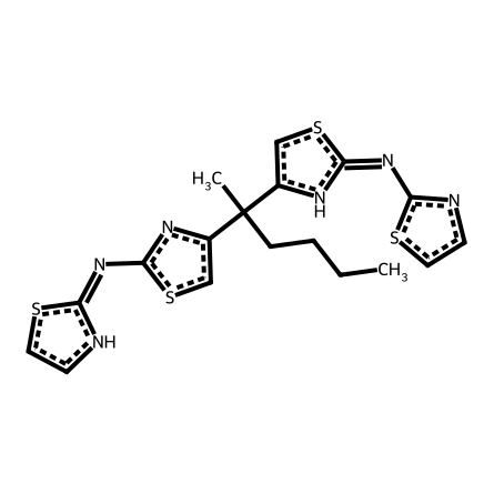 CCCCC(C)(c1csc(/N=c2\[nH]ccs2)n1)c1cs/c(=N/c2nccs2)[nH]1